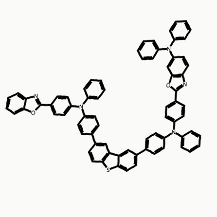 c1ccc(N(c2ccc(-c3ccc4sc5ccc(-c6ccc(N(c7ccccc7)c7ccc(-c8nc9ccc(N(c%10ccccc%10)c%10ccccc%10)cc9o8)cc7)cc6)cc5c4c3)cc2)c2ccc(-c3nc4ccccc4o3)cc2)cc1